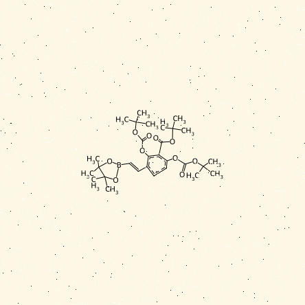 CC(C)(C)OC(=O)Oc1ccc(/C=C/B2OC(C)(C)C(C)(C)O2)c(OC(=O)OC(C)(C)C)c1C(=O)OC(C)(C)C